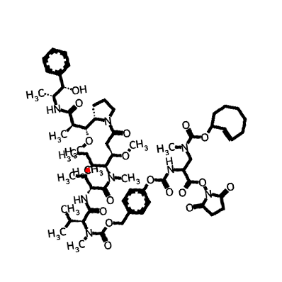 CC[C@H](C)[C@@H]([C@@H](CC(=O)N1CCC[C@H]1[C@H](OC)[C@@H](C)C(=O)N[C@H](C)[C@@H](O)c1ccccc1)OC)N(C)C(=O)[C@H](NC(=O)[C@H](C(C)C)N(C)C(=O)OCc1ccc(OC(=O)NC(CN(C)C(=O)OC2/C=C/CCCCC2)C(=O)ON2C(=O)CCC2=O)cc1)C(C)C